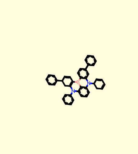 C1=CCC(N2c3cc(-c4ccccc4)ccc3B3C4=C(CC(c5ccccc5)C=C4)N(c4ccccc4)c4cccc2c43)C=C1